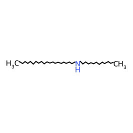 CCCCCCCCCCCCCCCCCCCCCCNCCCCCCCCCCCCCC